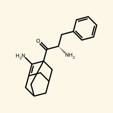 NC1=C2CC3CC(C2)CC1(C(=O)[C@@H](N)Cc1ccccc1)C3